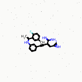 C=C(Nc1cccc(C#C/C(=C/C2=CN2)C(=N)N)c1)c1cc(C)ccc1F